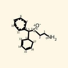 NCC[S+]([O-])C(c1ccccc1)C1C=CC=CC1